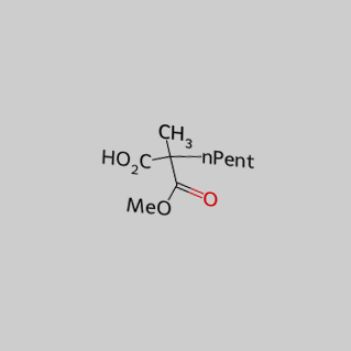 CCCCCC(C)(C(=O)O)C(=O)OC